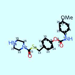 COc1ccc(NC(=O)Oc2ccc(CSC(=O)N3CCNCC3)cc2)cc1